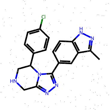 Cc1n[nH]c2ccc(-c3nnc4n3C(c3ccc(Cl)cc3)CNC4)cc12